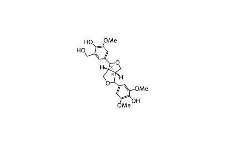 COc1cc(C2OC[C@@H]3C(c4cc(OC)c(O)c(OC)c4)OC[C@H]23)cc(CO)c1O